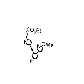 CCOC(=O)CCCc1ccc(C#Cc2cc(F)ccc2-c2ccc(OC)nc2)cn1